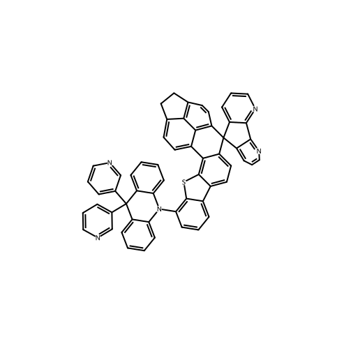 c1cncc(C2(c3cccnc3)c3ccccc3N(c3cccc4c3sc3c5c(ccc34)C3(c4cccnc4-c4ncccc43)c3ccc4c6c(ccc-5c36)CC4)c3ccccc32)c1